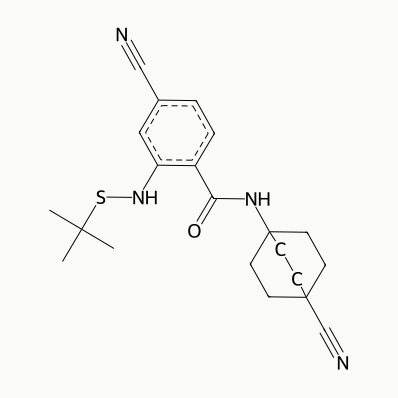 CC(C)(C)SNc1cc(C#N)ccc1C(=O)NC12CCC(C#N)(CC1)CC2